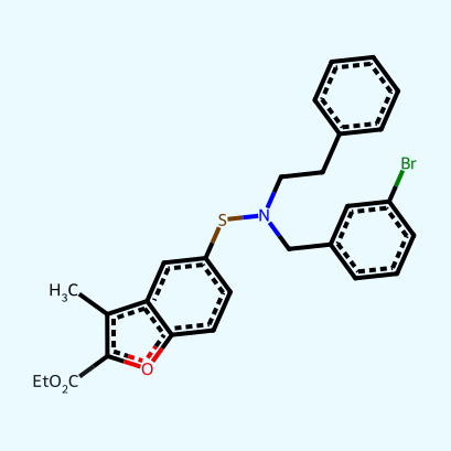 CCOC(=O)c1oc2ccc(SN(CCc3ccccc3)Cc3cccc(Br)c3)cc2c1C